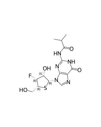 CC(C)C(=O)Nc1nc2c(ncn2[C@@H]2S[C@H](CO)[C@H](F)[C@@H]2O)c(=O)[nH]1